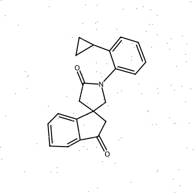 O=C1CC2(CC(=O)N(c3ccccc3C3CC3)C2)c2ccccc21